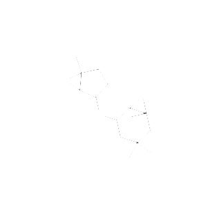 CC1(C)CC(OC2CCC3(C)OC23)C2OC2(C)C1